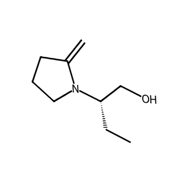 C=C1CCCN1[C@@H](CC)CO